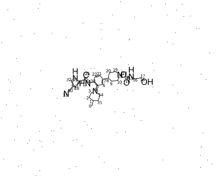 CC1CCN(c2cc(C3CCN(OC(=O)NCCO)CC3)ccc2NC(=O)c2cc(C#N)c[nH]2)CC1